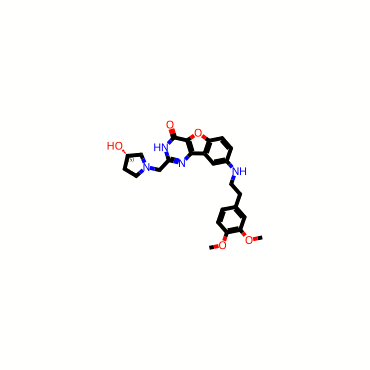 COc1ccc(CCNc2ccc3oc4c(=O)[nH]c(CN5CC[C@H](O)C5)nc4c3c2)cc1OC